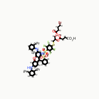 CC(C)c1cccc(C(C)C)c1/N=c1/ccc2c(-c3ccccc3S(=O)(=O)NS(=O)(=O)c3c(F)c(F)c(SCC(COC(=O)CCCBr)OC(=O)CCC(=O)O)c(F)c3F)c3ccc(Nc4c(C(C)C)cccc4C(C)C)cc3oc-2c1